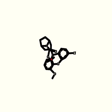 COc1cccc2c1Oc1cc(Cl)ccc1N2C1CC2CCC(C1)N2C(=O)OC(C)(C)C